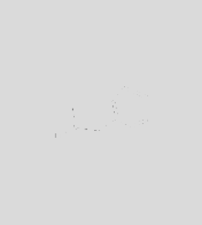 CC(C)N(Cc1ccccc1)C(C)(C)C